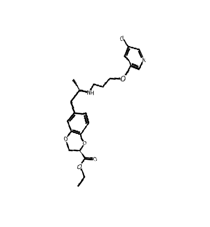 CCOC(=O)[C@H]1COc2cc(C[C@@H](C)NCCCOc3cncc(Cl)c3)ccc2O1